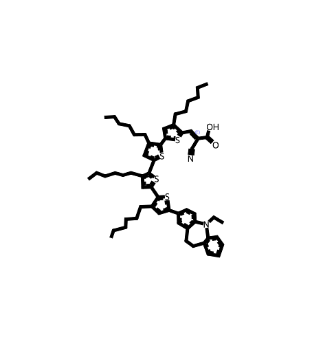 CCCCCCc1cc(-c2sc(-c3sc(-c4sc(-c5ccc6c(c5)CCc5ccccc5N6CC)cc4CCCCCC)cc3CCCCCC)cc2CCCCCC)sc1/C=C(\C#N)C(=O)O